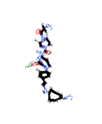 CN(CCc1ccc(-n2ccc(NC(=O)N3CCN(C(=O)C(C)(C)N)CC3)nc2=O)cc1)[C@H]1CC[C@@H](N)CC1.Cl